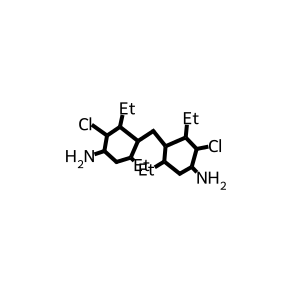 CCC1CC(N)C(Cl)C(CC)C1CC1C(CC)CC(N)C(Cl)C1CC